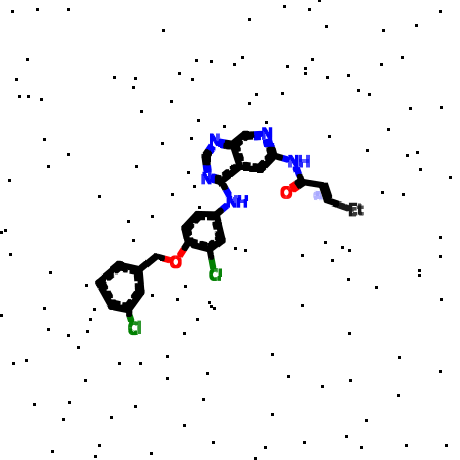 CC/C=C/C(=O)Nc1cc2c(Nc3ccc(OCc4cccc(Cl)c4)c(Cl)c3)ncnc2cn1